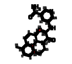 C=C(/C=C\c1nc(C)ccc1C)[C@@H]1CCCCN1C(=O)C(=O)Nc1cncc(C(N)=O)c1